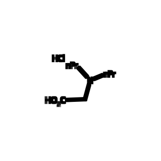 CCCN(CCC)CC(=O)O.Cl